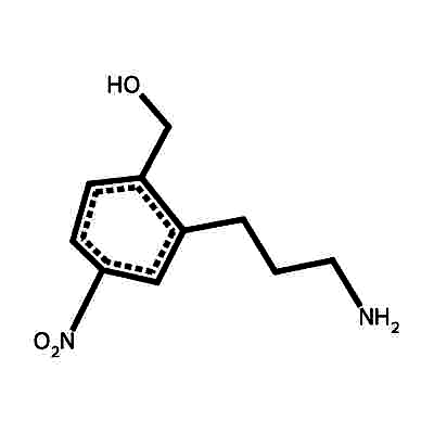 NCCCc1cc([N+](=O)[O-])ccc1CO